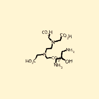 NCC(O)CN.O=C(O)CN(CCN(CC(=O)O)CC(=O)O)CC(=O)O